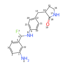 Nc1cccc(C(F)Nc2ccc(CC3CCNC3=O)cc2)c1